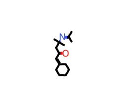 CC(C)=NC(C)(C)CC(=O)C=C1CCCCC1